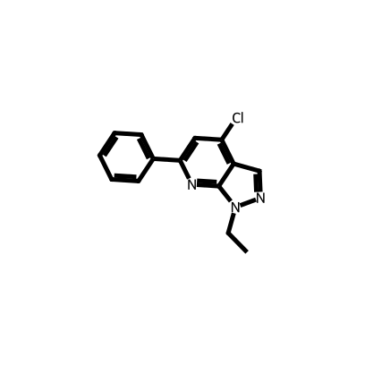 CCn1ncc2c(Cl)cc(-c3ccccc3)nc21